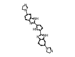 C1=NCCN1c1ccc2nc(-c3ccc(-c4nc5ccc(N6C=NCC6)cc5[nH]4)[nH]3)[nH]c2c1